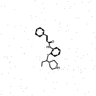 CCC(Sc1ccccc1NC(=O)/C=C/c1ccccc1)N1CCNCC1